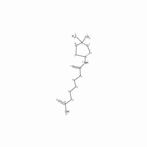 CC1(C)OCC(NC(=O)CCCCCC(=O)O)CO1